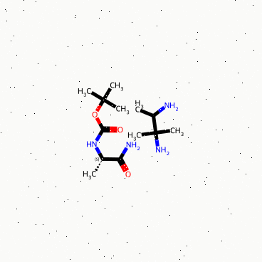 CC(N)C(C)(C)N.C[C@H](NC(=O)OC(C)(C)C)C(N)=O